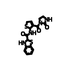 O=C(NC1SCC=C1C(=O)N1CCNC1=O)C1Nc2ccccc2S1